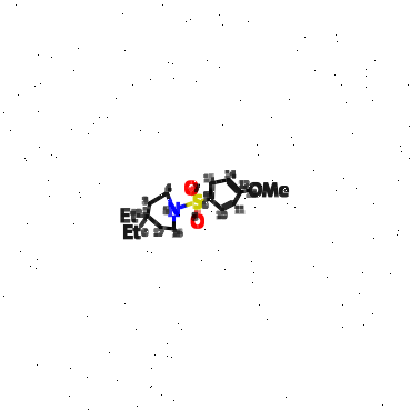 CCC1(CC)CCN(S(=O)(=O)c2ccc(OC)cc2)CC1